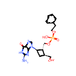 Nc1nc2c(ncn2[C@@H]2C[C@H](CO)[C@H]2COP(=O)(O)OCCc2ccccc2)c(=O)[nH]1